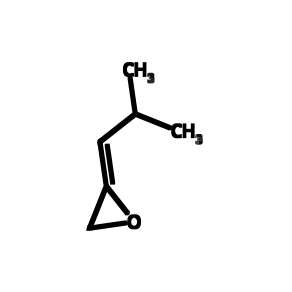 CC(C)C=C1CO1